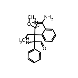 CCC(C(=O)OC)(c1ccccc1C(=N)N)C(N)(C=O)c1ccccc1